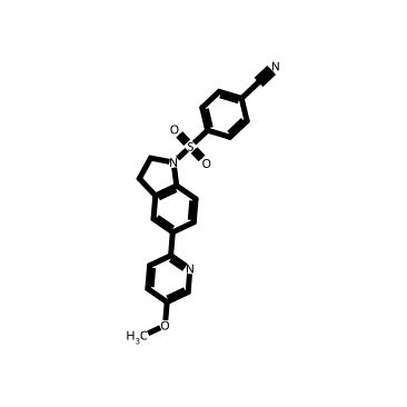 COc1ccc(-c2ccc3c(c2)CCN3S(=O)(=O)c2ccc(C#N)cc2)nc1